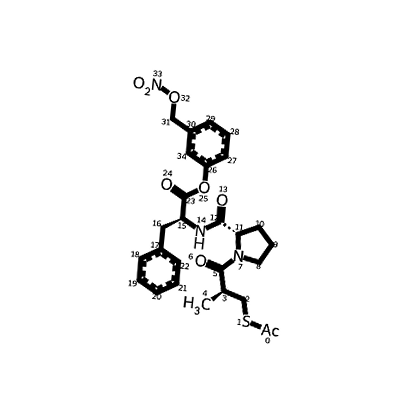 CC(=O)SC[C@@H](C)C(=O)N1CCC[C@H]1C(=O)N[C@@H](Cc1ccccc1)C(=O)Oc1cccc(CO[N+](=O)[O-])c1